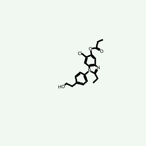 CCC(=O)Oc1cc2nc(CC)n(-c3ccc(CCO)cc3)c2cc1Cl